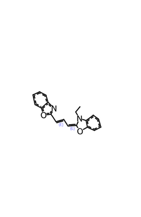 CCN1/C(=C\C=C\c2nc3ccccc3o2)Oc2ccccc21